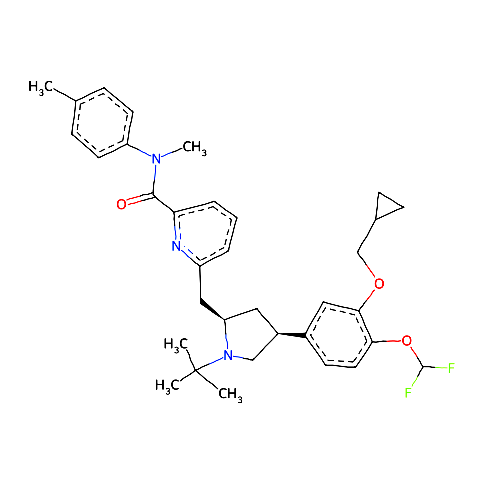 Cc1ccc(N(C)C(=O)c2cccc(C[C@H]3C[C@@H](c4ccc(OC(F)F)c(OCC5CC5)c4)CN3C(C)(C)C)n2)cc1